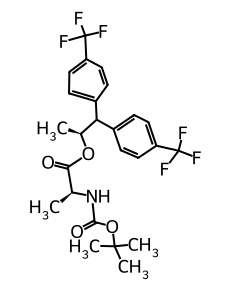 C[C@H](NC(=O)OC(C)(C)C)C(=O)O[C@@H](C)C(c1ccc(C(F)(F)F)cc1)c1ccc(C(F)(F)F)cc1